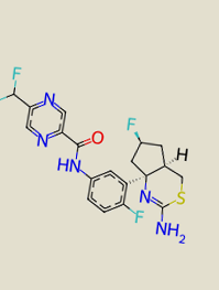 NC1=N[C@@]2(c3cc(NC(=O)c4cnc(C(F)F)cn4)ccc3F)C[C@@H](F)C[C@H]2CS1